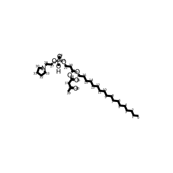 CCCCCCCCCCCCCCCCCCOC(CCOP(=O)(O)OCCN1CCCC1)OC(=O)CC(C)=O